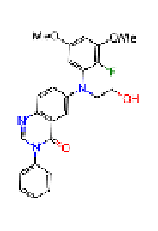 COc1cc(OC)c(F)c(N(CCO)c2ccc3ncn(-c4ccccc4)c(=O)c3c2)c1